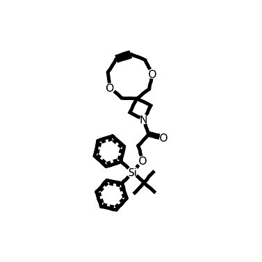 CC(C)(C)[Si](OCC(=O)N1CC2(COCC#CCOC2)C1)(c1ccccc1)c1ccccc1